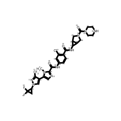 Cn1c(-c2cn(C3CC3(F)F)nc2C(F)(F)F)cnc1C(=O)Nc1ccc(C(=O)NC2C3CN(C(=O)N4CCNCC4)CC32)c(Cl)c1